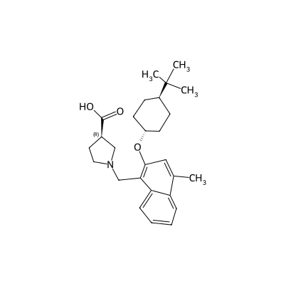 Cc1cc(O[C@H]2CC[C@H](C(C)(C)C)CC2)c(CN2CC[C@@H](C(=O)O)C2)c2ccccc12